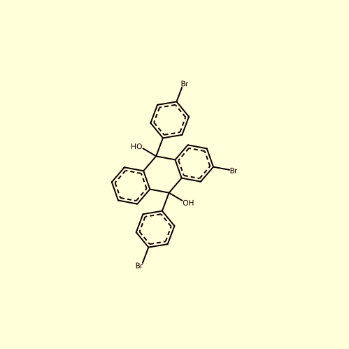 OC1(c2ccc(Br)cc2)c2ccccc2C(O)(c2ccc(Br)cc2)c2cc(Br)ccc21